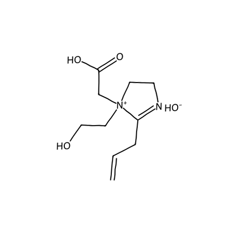 C=CCC1=NCC[N+]1(CCO)CC(=O)O.[OH-]